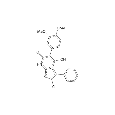 COc1ccc(-c2c(O)c3c(-c4ccccc4)c(Cl)sc3[nH]c2=O)cc1OC